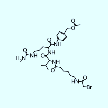 CC(=O)OCc1ccc(NC(=O)C(CCCNC(N)=O)NC(=O)C(NC(=O)CCCCCNC(=O)CBr)C(C)C)cc1